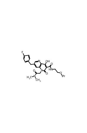 CC(C)OCCNC(=O)c1c(O)c2ncc(Cc3ccc(F)cc3)cc2n(CC(=O)N(C)C)c1=O